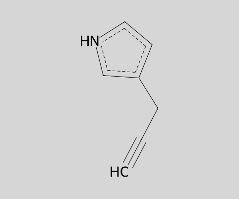 C#CCc1cc[nH]c1